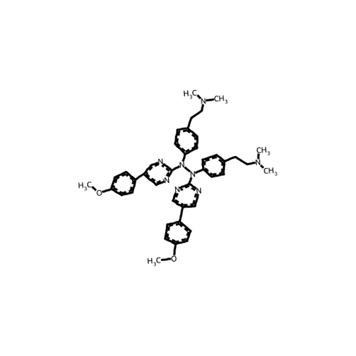 COc1ccc(-c2cnc(N(c3ccc(CCN(C)C)cc3)N(c3ccc(CCN(C)C)cc3)c3ncc(-c4ccc(OC)cc4)cn3)nc2)cc1